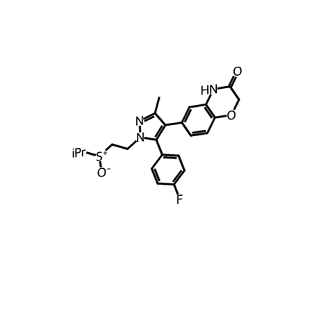 Cc1nn(CC[S+]([O-])C(C)C)c(-c2ccc(F)cc2)c1-c1ccc2c(c1)NC(=O)CO2